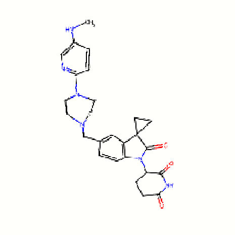 CNc1ccc(N2CCN(Cc3ccc4c(c3)C3(CC3)C(=O)N4C3CCC(=O)NC3=O)CC2)nc1